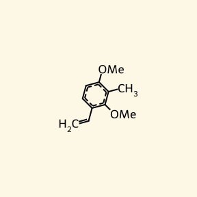 C=Cc1ccc(OC)c(C)c1OC